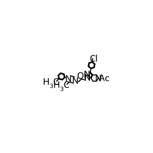 CC(=O)N1CCc2c(c(-c3ccc(Cl)cc3)nn2CC(O)CN2CCN(c3cccc(C)c3)C(C)C2)C1